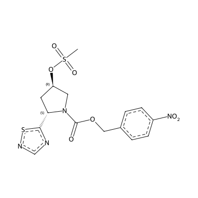 CS(=O)(=O)O[C@@H]1C[C@@H](c2ncns2)N(C(=O)OCc2ccc([N+](=O)[O-])cc2)C1